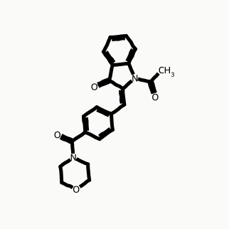 CC(=O)N1C(=Cc2ccc(C(=O)N3CCOCC3)cc2)C(=O)c2ccccc21